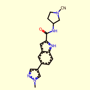 Cn1cc(-c2ccc3[nH]c(C(=O)NC4CCN(C#N)C4)cc3c2)cn1